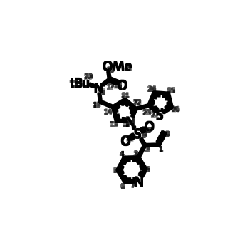 C=CC(c1cccnc1)S(=O)(=O)n1cc(CN(C(=O)OC)C(C)(C)C)cc1-c1cccs1